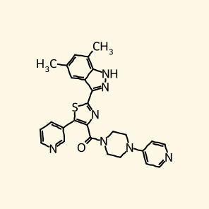 Cc1cc(C)c2[nH]nc(-c3nc(C(=O)N4CCN(c5ccncc5)CC4)c(-c4cccnc4)s3)c2c1